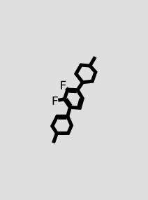 CC1CC=C(c2ccc(C3CCC(C)CC3)c(F)c2F)CC1